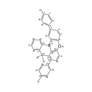 Cc1ccc(-c2ccc3c(c2)B2c4ccccc4C(C)(C)c4c(-c5ccc(C)cc5)ccc(c42)O3)cc1